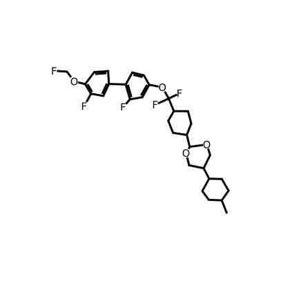 CC1CCC(C2COC(C3CCC(C(F)(F)Oc4ccc(-c5ccc(OCF)c(F)c5)c(F)c4)CC3)OC2)CC1